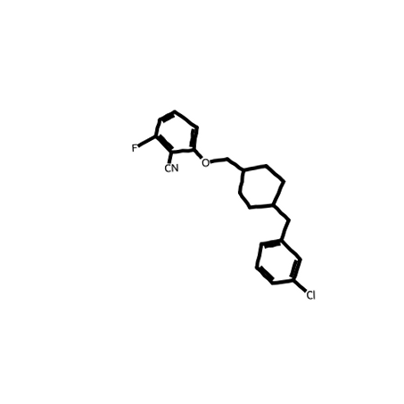 N#Cc1c(F)cccc1OCC1CCC(Cc2cccc(Cl)c2)CC1